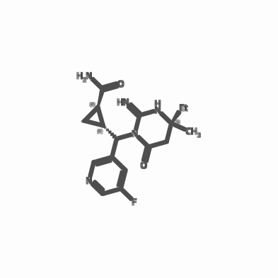 CC[C@@]1(C)CC(=O)N(C(c2cncc(F)c2)[C@@H]2C[C@H]2C(N)=O)C(=N)N1